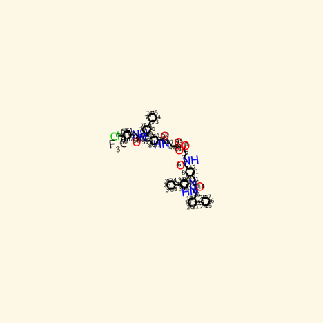 O=C(CCNC(=O)c1ccc(CN(C(=O)NCc2ccccc2-c2ccccc2)c2ccc(C3=CCCCC3)cc2)cc1)OC(=O)CCNC(=O)c1ccc(CN(C(=O)Nc2ccc(Cl)c(C(F)(F)F)c2)c2ccc(C3=CCCCC3)cc2)cc1